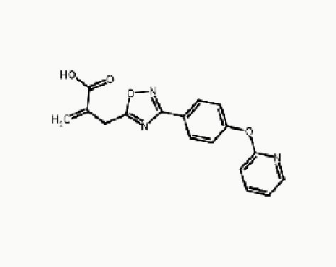 C=C(Cc1nc(-c2ccc(Oc3ccccn3)cc2)no1)C(=O)O